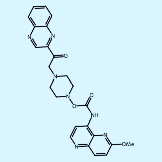 COc1ccc2nccc(NC(=O)ON3CCN(CC(=O)c4cnc5ccccc5n4)CC3)c2n1